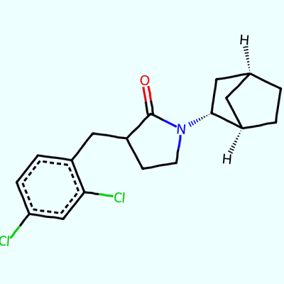 O=C1C(Cc2ccc(Cl)cc2Cl)CCN1[C@@H]1C[C@H]2CC[C@@H]1C2